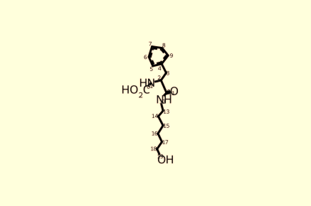 O=C(O)NC(Cc1ccccc1)C(=O)NCCCCCCO